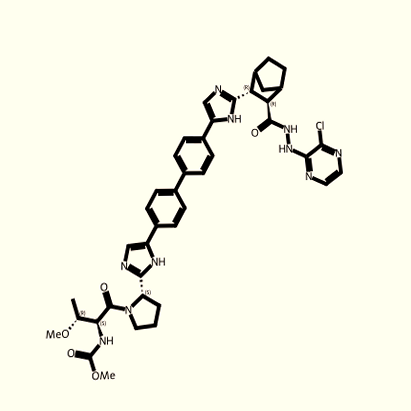 COC(=O)N[C@H](C(=O)N1CCC[C@H]1c1ncc(-c2ccc(-c3ccc(-c4cnc([C@@H]5C6CCC(C6)[C@H]5C(=O)NNc5nccnc5Cl)[nH]4)cc3)cc2)[nH]1)[C@@H](C)OC